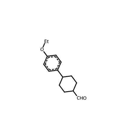 CCOc1ccc(C2CCC(C=O)CC2)cc1